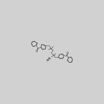 C[N+](C)(CC[N+](C)(C)Cc1ccc(C(=O)c2ccccc2)cc1)Cc1ccc(C(=O)c2ccccc2)cc1.[Br-].[Br-]